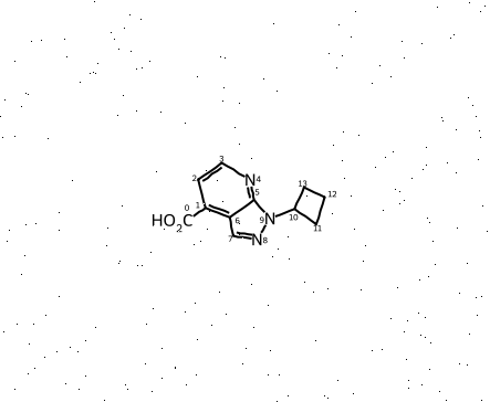 O=C(O)c1ccnc2c1cnn2C1CCC1